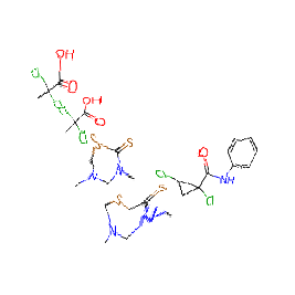 CC(Cl)(Cl)C(=O)O.CC(Cl)(Cl)C(=O)O.CN1CSC(=S)N(C)C1.CN1CSC(=S)N(C)C1.O=C(Nc1ccccc1)C1(Cl)CC1Cl